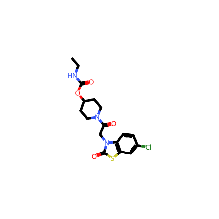 CCNC(=O)OC1CCN(C(=O)Cn2c(=O)sc3cc(Cl)ccc32)CC1